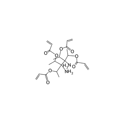 C=CC(=O)OC(C)C(N)(C(C)OC(=O)C=C)C(N)(C(C)OC(=O)C=C)C(C)OC(=O)C=C